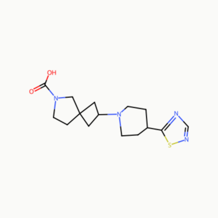 O=C(O)N1CCC2(CC(N3CCC(c4ncns4)CC3)C2)C1